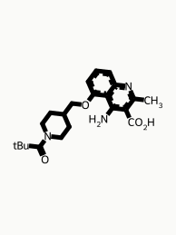 Cc1nc2cccc(OCC3CCN(C(=O)C(C)(C)C)CC3)c2c(N)c1C(=O)O